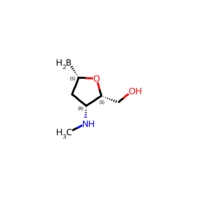 B[C@H]1C[C@@H](NC)[C@@H](CO)O1